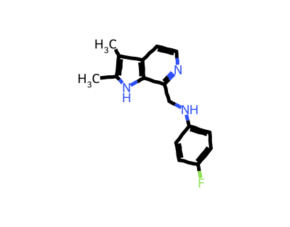 Cc1[nH]c2c(CNc3ccc(F)cc3)nccc2c1C